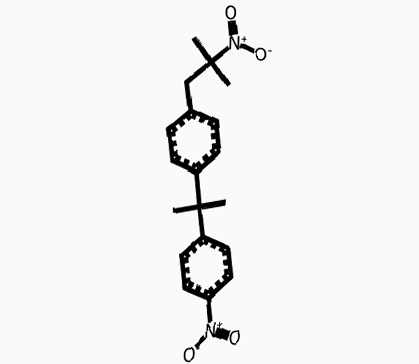 CC(C)(c1ccc(CC(C)(C)[N+](=O)[O-])cc1)c1ccc([N+](=O)[O-])cc1